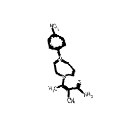 CC(=C(C#N)C(N)=S)N1CCCN(c2ccc([N+](=O)[O-])cc2)CC1